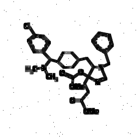 COC(=O)CCC1(OC(=O)OC)N=CN(Cc2ccccc2)C1CC1CCC(C(c2ccc(Cl)cc2)N(C)C)CC1